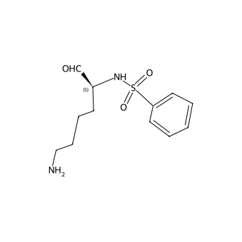 NCCCC[C@@H](C=O)NS(=O)(=O)c1ccccc1